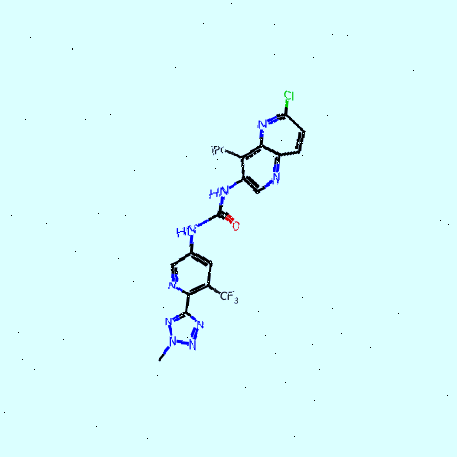 CC(C)c1c(NC(=O)Nc2cnc(-c3nnn(C)n3)c(C(F)(F)F)c2)cnc2ccc(Cl)nc12